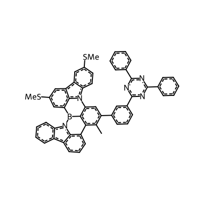 CSc1ccc2c(c1)c1cc(SC)cc3c1n2-c1cc(-c2cccc(-c4nc(-c5ccccc5)nc(-c5ccccc5)n4)c2)c(C)c2c1B3n1c3ccccc3c3cccc-2c31